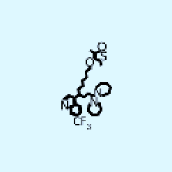 CC1=C(OCCCCCCC(CCC(N2CCCCCC2)N2CCCCCC2)c2ccnc3cc(C(F)(F)F)ccc23)C(C)SC1=O